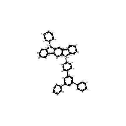 c1ccc(-c2cc(-c3ccccc3)cc(-c3ccc(-n4c5ccccc5c5cc6c(cc54)c4ccccc4n6-c4ccccc4)nc3)c2)cc1